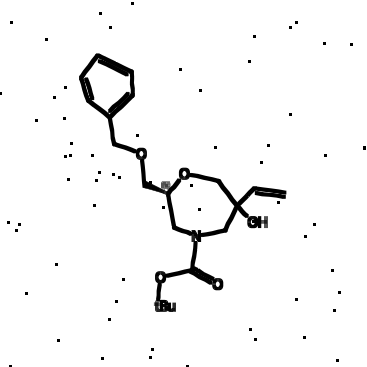 C=CC1(O)CO[C@H](COCc2ccccc2)CN(C(=O)OC(C)(C)C)C1